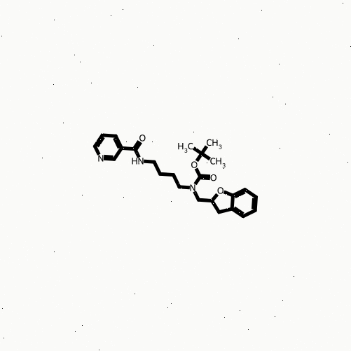 CC(C)(C)OC(=O)N(CCCCNC(=O)c1cccnc1)CC1Cc2ccccc2O1